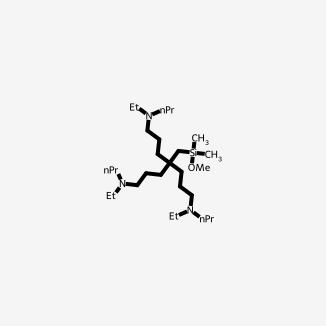 CCCN(CC)CCCC(CCCN(CC)CCC)(CCCN(CC)CCC)C[Si](C)(C)OC